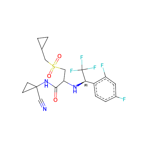 N#CC1(NC(=O)C(CS(=O)(=O)CC2CC2)N[C@H](c2ccc(F)cc2F)C(F)(F)F)CC1